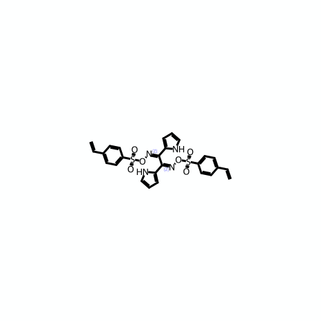 C=Cc1ccc(S(=O)(=O)O/N=C(\C(=N/OS(=O)(=O)c2ccc(C=C)cc2)c2ccc[nH]2)c2ccc[nH]2)cc1